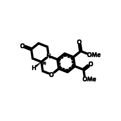 COC(=O)c1cc2c(cc1C(=O)OC)N1CCC(=O)C[C@@H]1CO2